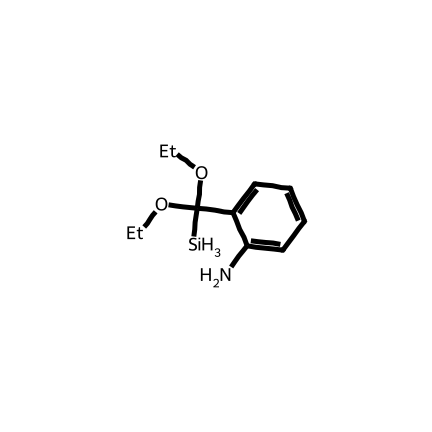 CCOC([SiH3])(OCC)c1ccccc1N